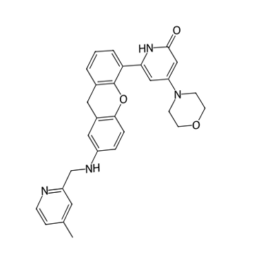 Cc1ccnc(CNc2ccc3c(c2)Cc2cccc(-c4cc(N5CCOCC5)cc(=O)[nH]4)c2O3)c1